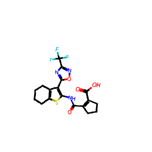 O=C(O)C1=C(C(=O)Nc2sc3c(c2-c2nc(C(F)(F)F)no2)CCCC3)CCC1